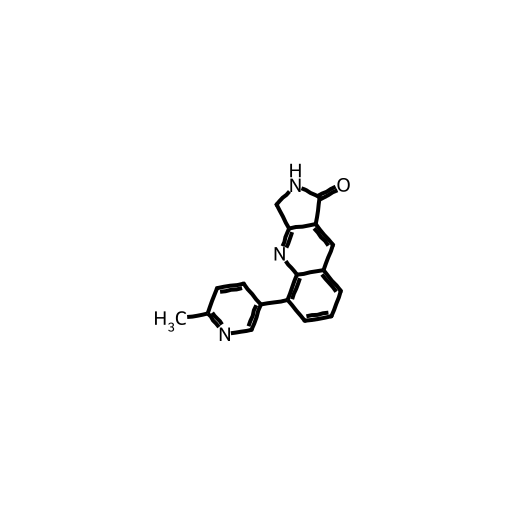 Cc1ccc(-c2cccc3cc4c(nc23)CNC4=O)cn1